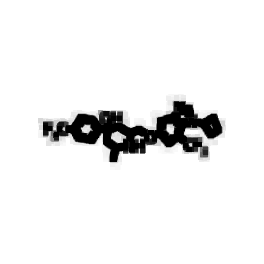 CC1CC(O)(c2ccc(C(F)(F)F)cc2)CC(COc2cc(C(F)(F)F)c3c(c2)ncn3C2CCC2)N1